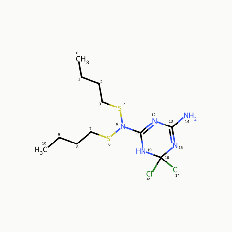 CCCCSN(SCCCC)C1=NC(N)=NC(Cl)(Cl)N1